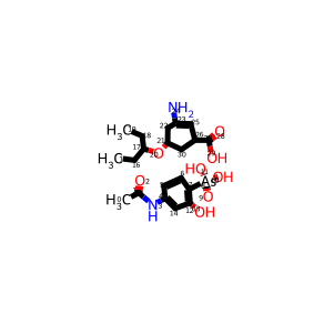 CC(=O)Nc1ccc([As](=O)(O)O)c(O)c1.CCC(CC)OC1CC(N)=CC(C(=O)O)C1